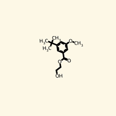 COc1cc(C(=O)OCCO)cc(C(C)(C)C)c1